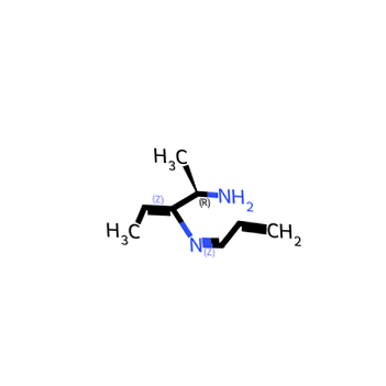 C=C/C=N\C(=C/C)[C@@H](C)N